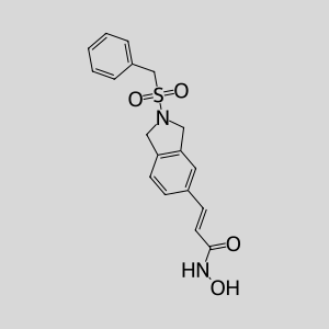 O=C(C=Cc1ccc2c(c1)CN(S(=O)(=O)Cc1ccccc1)C2)NO